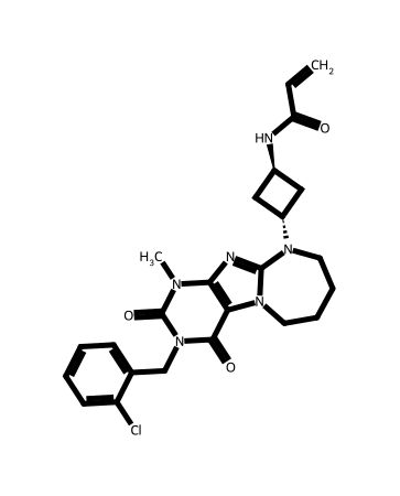 C=CC(=O)N[C@H]1C[C@H](N2CCCCn3c2nc2c3c(=O)n(Cc3ccccc3Cl)c(=O)n2C)C1